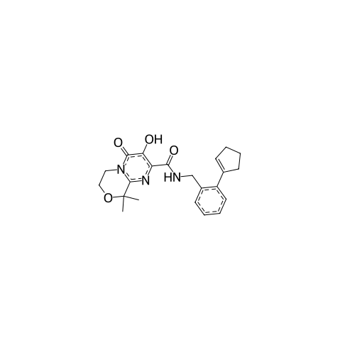 CC1(C)OCCn2c1nc(C(=O)NCc1ccccc1C1=CCCC1)c(O)c2=O